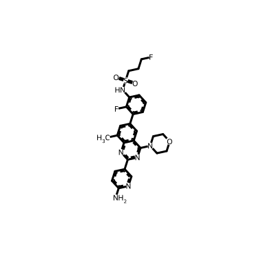 Cc1cc(-c2cccc(NS(=O)(=O)CCCF)c2F)cc2c(N3CCOCC3)nc(-c3ccc(N)nc3)nc12